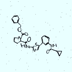 O=C(Nc1cccc(-c2cnc(NC(=O)C3CCCN3C(=O)OCc3ccccc3)s2)c1)C1CC1